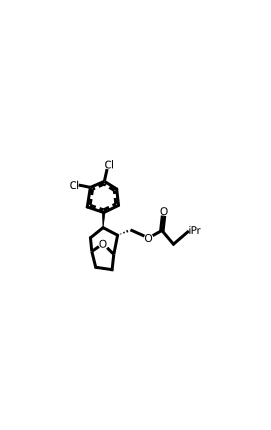 CC(C)CC(=O)OC[C@@H]1C2CCC(C[C@H]1c1ccc(Cl)c(Cl)c1)O2